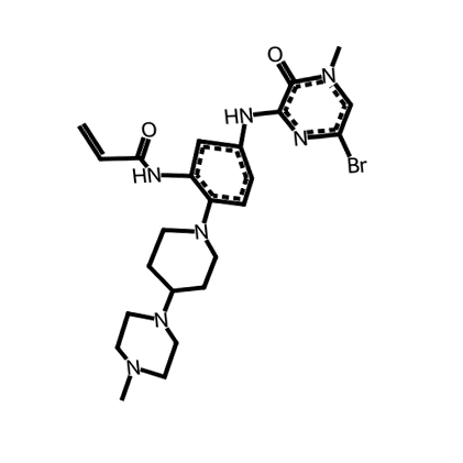 C=CC(=O)Nc1cc(Nc2nc(Br)cn(C)c2=O)ccc1N1CCC(N2CCN(C)CC2)CC1